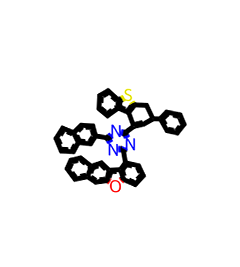 C1=C(c2nc(-c3ccc4ccccc4c3)nc(-c3cccc4oc5cc6ccccc6cc5c34)n2)c2c(sc3ccccc23)CC1c1ccccc1